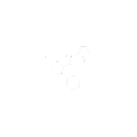 Cn1cccc1C(=O)NN(C(=O)c1ccccc1)C(C)(C)C